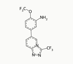 Nc1cc(-c2ccc3nnc(C(F)(F)F)n3c2)ccc1OC(F)(F)F